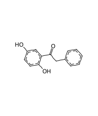 O=C(Cc1ccccc1)c1cc(O)ccc1O